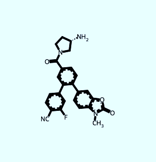 Cn1c(=O)oc2cc(-c3ccc(C(=O)N4CC[C@H](N)C4)cc3-c3ccc(C#N)c(F)c3)ccc21